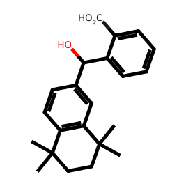 CC1(C)CCC(C)(C)c2cc(C(O)c3ccccc3C(=O)O)ccc21